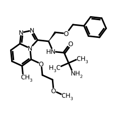 COCCOc1c(C)ccc2nnc([C@@H](COCc3ccccc3)NC(=O)C(C)(C)N)n12